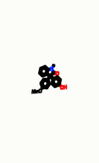 COc1ccc(C2(c3ccc(O)cc3)C(=O)N(C)c3ccccc32)cc1